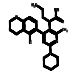 CCCC(C(=O)O)c1c(C)nc(N2CCCCC2)nc1-c1ccc2c(c1Cl)CCCO2